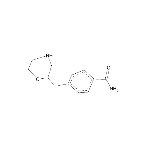 NC(=O)c1ccc(CC2CNCCO2)cc1